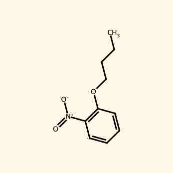 CCCCOc1ccc[c]c1[N+](=O)[O-]